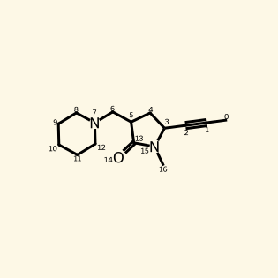 CC#CC1CC(CN2CCCCC2)C(=O)N1C